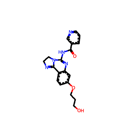 O=C(NC1=Nc2cc(OCCCO)ccc2C2=NCCN12)c1cccnc1